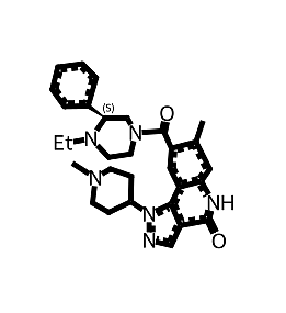 CCN1CCN(C(=O)c2cc3c(cc2C)[nH]c(=O)c2cnn(C4CCN(C)CC4)c23)C[C@@H]1c1ccccc1